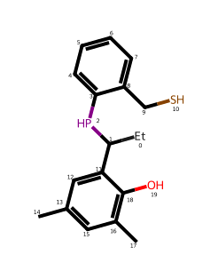 CCC(Pc1ccccc1CS)c1cc(C)cc(C)c1O